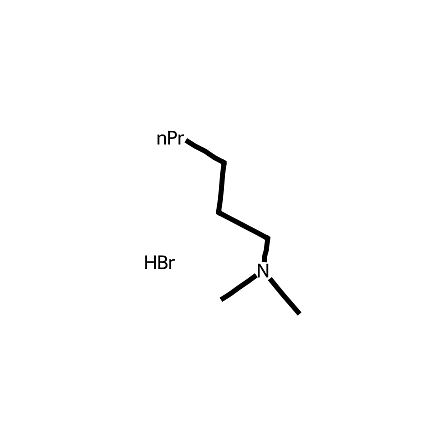 Br.CCCCCCN(C)C